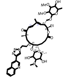 CC[C@H]1OC(=O)CC[C@H](C)[C@@H](O[C@@H]2O[C@H](C)C(O)C(N(C)C)C2O)[C@@H](CCn2cc(-c3cnc4ccccc4c3)nn2)C[C@@H](C)C(=O)/C=C/C(C)=C/[C@@H]1COC1OC(C)C(O)C(OC)C1OC